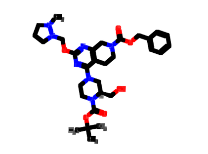 CN1CCCN1COc1nc2c(c(N3CCN(C(=O)OC(C)(C)C)[C@H](CO)C3)n1)CCN(C(=O)OCc1ccccc1)C2